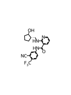 N#Cc1cc(NC(=O)c2cccnc2NC[C@@H]2CCC[C@H]2O)ccc1C(F)(F)F